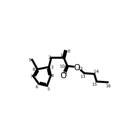 C=C(Cc1ccccc1C)C(=O)OCCCC